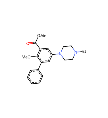 CCN1CCN(c2cc(C(=O)OC)c(OC)c(-c3ccccc3)c2)CC1